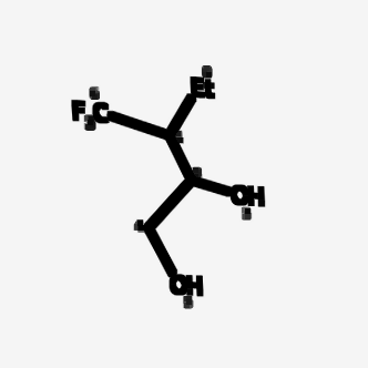 CCC(C(O)CO)C(F)(F)F